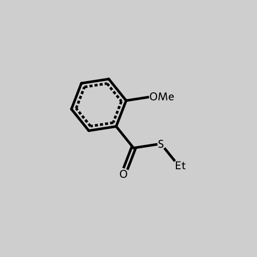 CCSC(=O)c1ccccc1OC